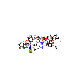 C[C@H](OC(=O)NC(CC1CC=CC([S+]([O-])N2CC(Oc3ccc(F)cc3)(c3ccccc3)C2)C1)C(=O)O)OC(=O)C(C)(C)C